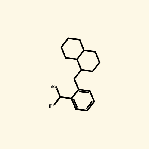 CCC(C)[C](c1ccccc1CC1CCCC2CCCCC21)C(C)C